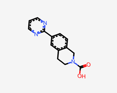 O=C(O)N1CCc2cc(-c3ncccn3)ccc2C1